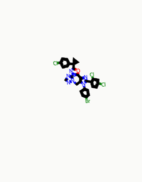 Clc1ccc(C2(c3nnc(-c4nc(-c5ccc(Cl)cc5Cl)n(-c5ccc(Br)cc5)c4Cn4cncn4)o3)CC2)cc1